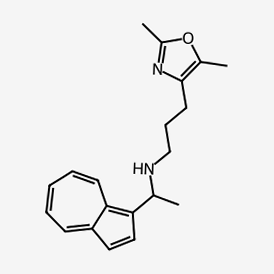 Cc1nc(CCCNC(C)c2ccc3cccccc2-3)c(C)o1